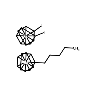 CCCCC[C]12[CH]3[CH]4[CH]5[CH]1[Fe]45321678[CH]2[CH]1[CH]6[CH]7[CH]28.I[C]12[CH]3[CH]4[CH]5[CH]1[Fe]45321678[CH]2[CH]1[CH]6[C]7(I)[CH]28